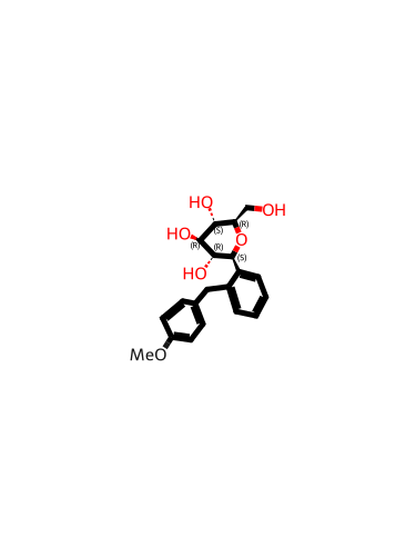 COc1ccc(Cc2ccccc2[C@@H]2O[C@H](CO)[C@@H](O)[C@H](O)[C@H]2O)cc1